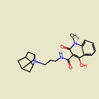 Cn1c(=O)c(C(=O)NCCCN2C3CC4CC(C3)CC2C4)c(O)c2ccccc21